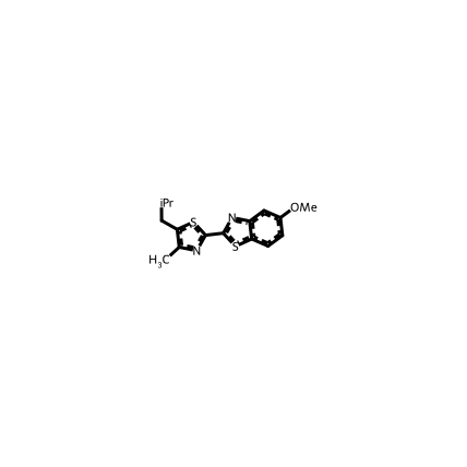 COc1ccc2sc(-c3nc(C)c(CC(C)C)s3)nc2c1